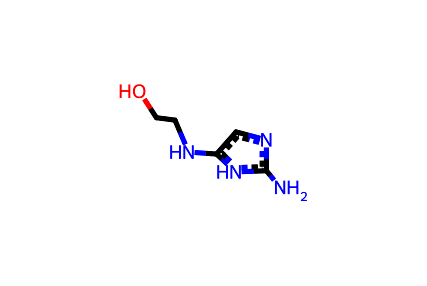 Nc1ncc(NCCO)[nH]1